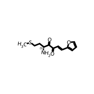 CSCC[C@H](N)C(=O)C(=O)C=Cc1ccco1